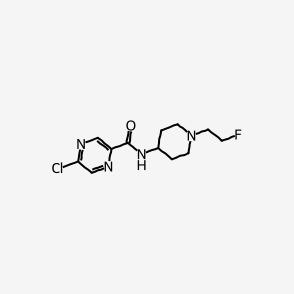 O=C(NC1CCN(CCF)CC1)c1cnc(Cl)cn1